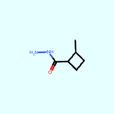 CC1CCC1C(=O)NN